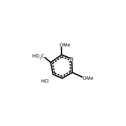 COc1ccc(C(=O)O)c(OC)n1.Cl